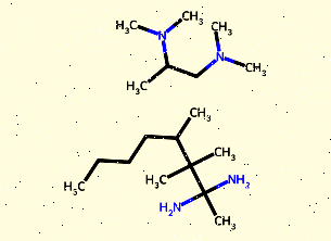 CC(CN(C)C)N(C)C.CCCCC(C)C(C)(C)C(C)(N)N